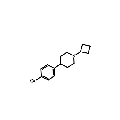 CC(C)(C)c1ccc(C2CCN(C3CCC3)CC2)cc1